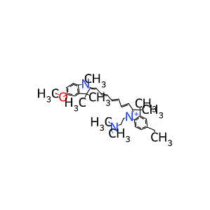 CCc1ccc2c(c1)C(C)(C)C(/C=C/C=C/C=C/C=C1/N(C)c3ccc(OC)cc3C1(C)C)=[N+]2CCN(C)C